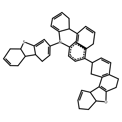 C1=CCC(C2=CCCC=C2)C(N(C2=CCC3C(=C2)SC2CC=CCC23)c2ccc(C3C=CC4=C(C3)C3=C(CC4)OC4CCC=CC34)cc2)=C1